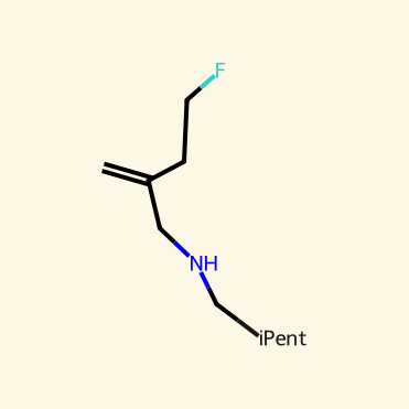 C=C(CCF)CNCC(C)CCC